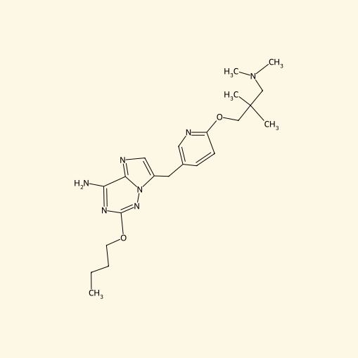 CCCCOc1nc(N)c2ncc(Cc3ccc(OCC(C)(C)CN(C)C)nc3)n2n1